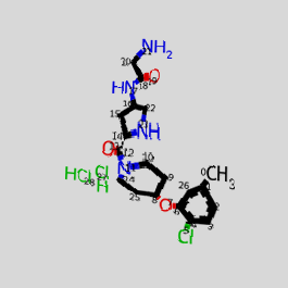 Cc1ccc(Cl)c(OC2CCN(C(=O)[C@@H]3CC(NC(=O)CN)CN3)CC2)c1.Cl.Cl